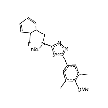 CCCCN(CC1C=CC=CC1F)c1nnc(-c2cc(C)c(OC)c(C)c2)s1